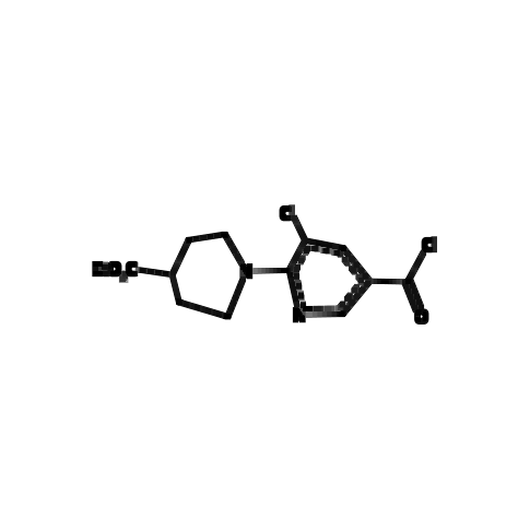 CCOC(=O)C1CCN(c2ncc(C(=O)Cl)cc2Cl)CC1